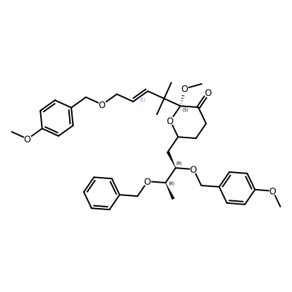 COc1ccc(COC/C=C/C(C)(C)[C@]2(OC)OC(C[C@@H](OCc3ccc(OC)cc3)[C@@H](C)OCc3ccccc3)CCC2=O)cc1